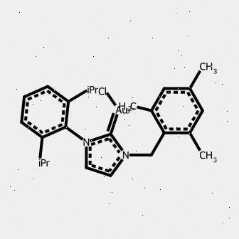 Cc1cc(C)c(Cn2ccn(-c3c(C(C)C)cccc3C(C)C)[c]2=[Au-2][Cl])c(C)c1